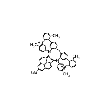 Cc1ccc(N2c3cc(-c4c(C)cccc4C)ccc3Cc3ccc(-c4c(C)cccc4C)cc3N(c3ccc(C)cc3)c3cc2c2ccc4cc(C(C)(C)C)cc5ccc3c2c45)cc1